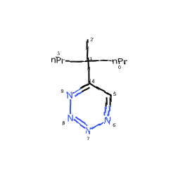 CCCC(C)(CCC)c1cnnnn1